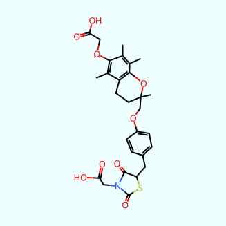 Cc1c(C)c2c(c(C)c1OCC(=O)O)CCC(C)(COc1ccc(CC3SC(=O)N(CC(=O)O)C3=O)cc1)O2